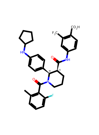 Cc1cccc(F)c1C(=O)N1CCC[C@H](C(=O)Nc2ccc(C(=O)O)c(C(F)(F)F)c2)[C@@H]1c1ccc(NC2CCCC2)cc1